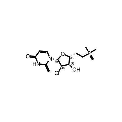 C=C1NC(=O)C=CN1[C@@H]1O[C@H](CCP(=C)(C)C)[C@@H](O)[C@H]1Cl